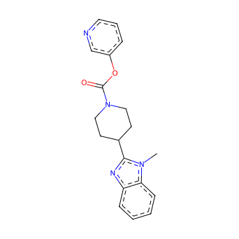 Cn1c(C2CCN(C(=O)Oc3cccnc3)CC2)nc2ccccc21